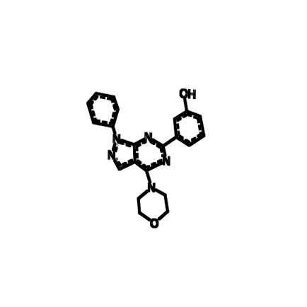 Oc1cccc(-c2nc(N3CCOCC3)c3cnn(-c4ccccc4)c3n2)c1